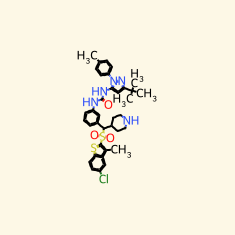 Cc1ccc(-n2nc(C(C)(C)C)cc2NC(=O)Nc2cccc(C(C3CCNCC3)S(=O)(=O)c3sc4ccc(Cl)cc4c3C)c2)cc1